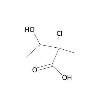 CC(O)C(C)(Cl)C(=O)O